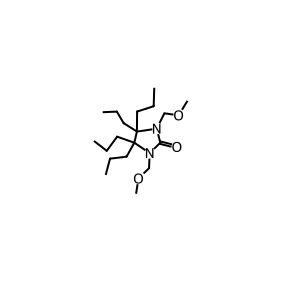 CCCC1(CCC)N(COC)C(=O)N(COC)C1(CCC)CCC